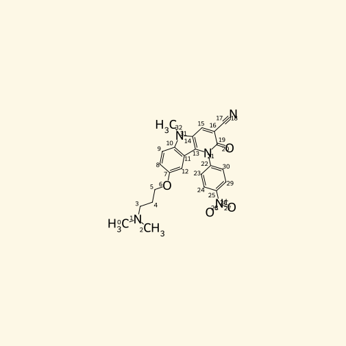 CN(C)CCCOc1ccc2c(c1)c1c(cc(C#N)c(=O)n1-c1ccc([N+](=O)[O-])cc1)n2C